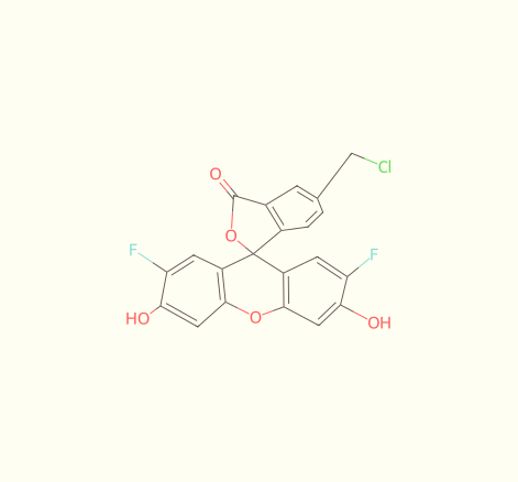 O=C1OC2(c3cc(F)c(O)cc3Oc3cc(O)c(F)cc32)c2ccc(CCl)cc21